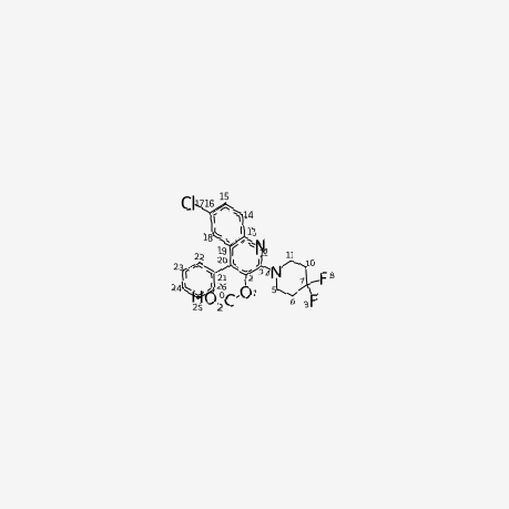 O=C(O)Oc1c(N2CCC(F)(F)CC2)nc2ccc(Cl)cc2c1-c1ccccc1